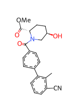 COC(=O)[C@@H]1CC[C@@H](O)CN1C(=O)c1ccc(-c2cccc(C#N)c2C)cc1